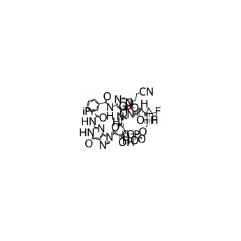 CC(C)C(=O)Nc1nc2c(ncn2[C@@H]2O[C@@H]3COP(=O)(OCCC#N)O[C@H]4[C@H](n5cnc6c(NC(=O)c7ccccc7)ncnc65)O[C@H](COP(=O)(O)O[C@H]3[C@H]2O)[C@]42CC2(F)F)c(=O)[nH]1